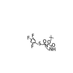 CC(C)(C)CO[C@@H]1C(=O)NCCN1C(=O)CSCc1cc(F)c(F)cc1F